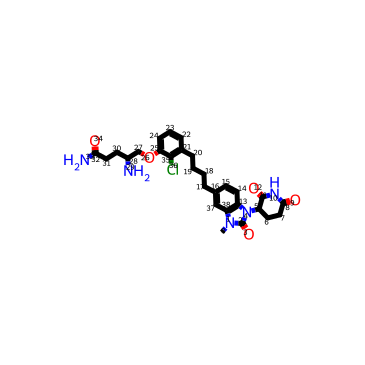 Cn1c(=O)n(C2CCC(=O)NC2=O)c2ccc(CCCCc3cccc(OCC(N)CCC(N)=O)c3Cl)cc21